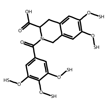 O=C(O)C1Cc2cc(OS)c(OS)cc2CN1C(=O)c1cc(OS)c(OS)c(OS)c1